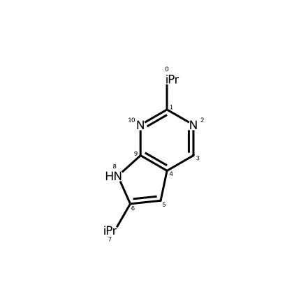 CC(C)c1ncc2cc(C(C)C)[nH]c2n1